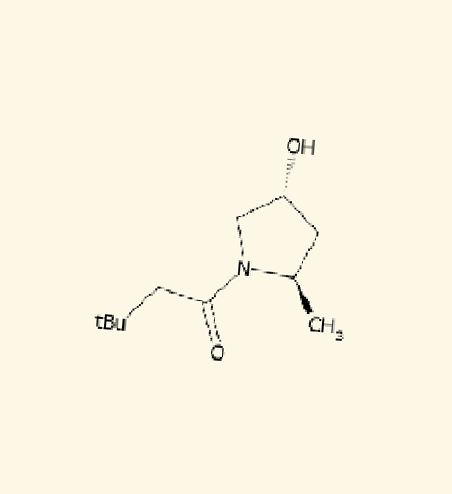 C[C@@H]1C[C@@H](O)CN1C(=O)CC(C)(C)C